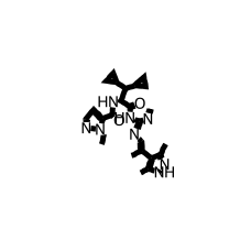 C=N/C(=N\C=C(/C)c1c(C)n[nH]c1C)NC(=O)[C@@H](NC(=O)c1ccnn1CC)C(C1CC1)C1CC1